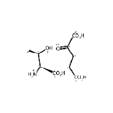 C[C@@H](O)[C@H](N)C(=O)O.O=C(O)CCC(=O)C(=O)O